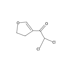 O=C(C1=COCC1)C(Cl)Cl